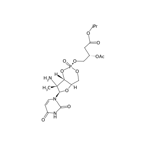 CC(=O)O[C@H](CO[P@@]1(=O)OC[C@H]2O[C@@H](n3ccc(=O)[nH]c3=O)[C@](C)(N)[C@@H]2O1)CC(=O)OC(C)C